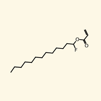 C=CC(=O)OC(F)CCCCCCCCCCCC